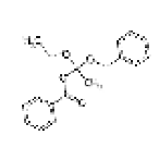 CCOC(C)(OCc1ccccc1)OC(=O)c1ccccc1